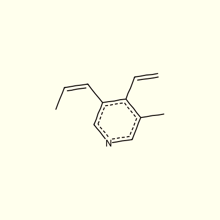 C=Cc1c(C)cncc1/C=C\C